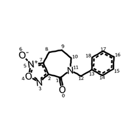 O=C1c2no[n+]([O-])c2CCCN1Cc1ccccc1